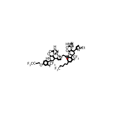 CCn1ccc(C2=C(n3nn[nH]c3=O)C(=O)N(C3CC3Cn3ccc(C4=C(n5nn[nH]c5=O)C(=O)N[C@@](c5ccc(OCCCC(F)(F)F)cc5F)(C(F)(F)F)C4)n3)[C@@](c3ccc(CCCCC(F)(F)F)cc3F)(C(F)(F)F)C2)n1